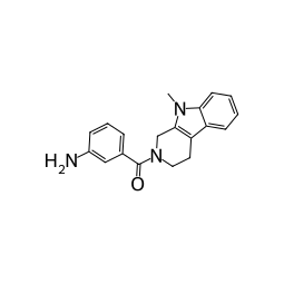 Cn1c2c(c3ccccc31)CCN(C(=O)c1cccc(N)c1)C2